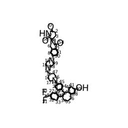 O=C1CC[C@H](N2Cc3cc(N4CCN(CC5CCN(c6ccc(C7=C(c8ccc(C(F)F)cc8)CCCc8cc(O)ccc87)cc6)CC5)CC4)ccc3C2=O)C(=O)N1